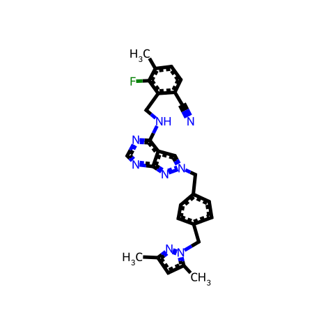 Cc1cc(C)n(Cc2ccc(Cn3cc4c(NCc5c(C#N)ccc(C)c5F)ncnc4n3)cc2)n1